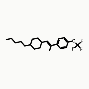 CCCCCC1CCC(/C=C(\C)c2ccc(OC(F)(F)F)cc2)CC1